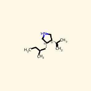 C=C(C)[C@H]1CNC[C@H]1CC(C)CC